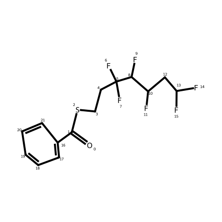 O=C(SCCC(F)(F)C(F)C(F)CC(F)F)c1ccccc1